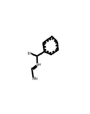 [CH2]CCCC=[SiH]C(CC)c1ccccc1